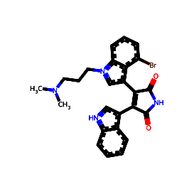 CN(C)CCCn1cc(C2=C(c3c[nH]c4ccccc34)C(=O)NC2=O)c2c(Br)cccc21